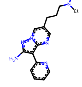 CCN(CC)CCCc1cnc2c(-c3ccccn3)c(N)nn2c1